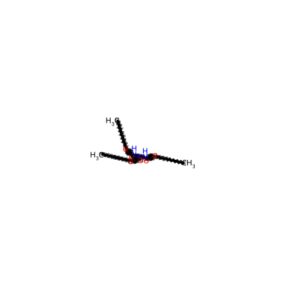 CCCCCCCCCCCCCCCCOc1ccc(C(=O)NCCN(CCNC(=O)c2ccc(OCCCCCCCCCCCCCCCC)cc2)C(=O)c2ccc(OCCCCCCCCCCCCCCCC)cc2)cc1